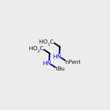 CC(C)(C)NCC(=O)O.CCCCCNCC(=O)O